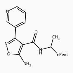 CCCCCC(C)NC(=O)c1c(-c2cccnc2)noc1N